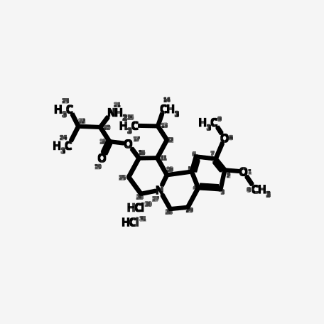 COc1cc2c(cc1OC)C1C(CC(C)C)C(OC(=O)C(N)C(C)C)CCN1CC2.Cl.Cl